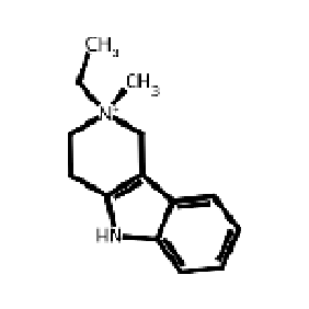 CC[N+]1(C)CCc2[nH]c3ccccc3c2C1